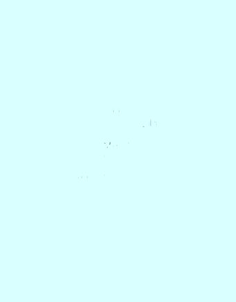 CCC(=O)O.COC(=O)C(C)C